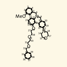 COc1cccc(CN(Cc2ccc(N3CCOCC3)cc2)c2ccnc(OCCOCCOCc3ccccc3)c2)c1